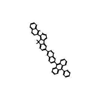 CC1(C)c2ccc(-c3ccc4cc(-c5c6ccccc6c(-c6ccccc6)c6ccccc56)ccc4c3)cc2-c2ccc3sc4c5ccccc5ccc4c3c21